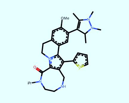 COc1cc2c(cc1C1=C(C)N(C)N(C)C1C)-c1c(-c3cccs3)c3c(n1CC2)C(=O)N(C(C)C)CCNC3